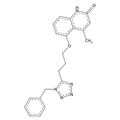 Cc1cc(=O)[nH]c2cccc(OCCCc3nnnn3Cc3ccccc3)c12